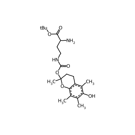 Cc1c(C)c2c(c(C)c1O)CCC(C)(OC(=O)NCCC(N)C(=O)OC(C)(C)C)O2